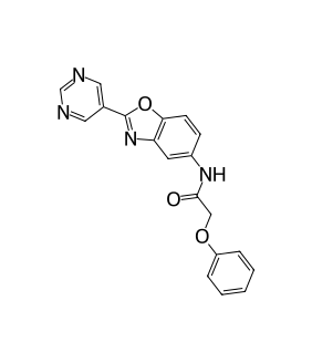 O=C(COc1ccccc1)Nc1ccc2oc(-c3cncnc3)nc2c1